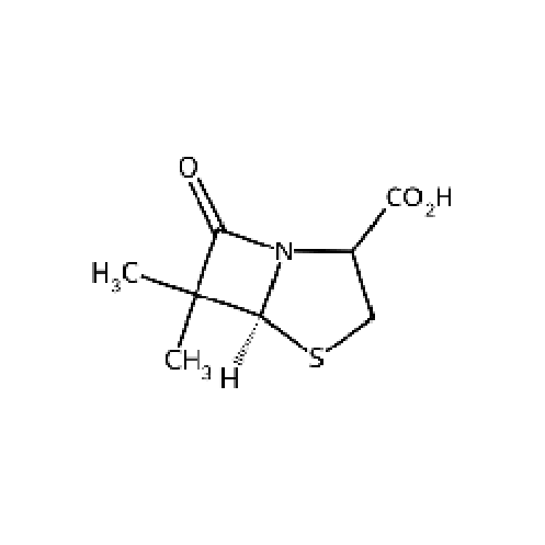 CC1(C)C(=O)N2C(C(=O)O)CS[C@H]21